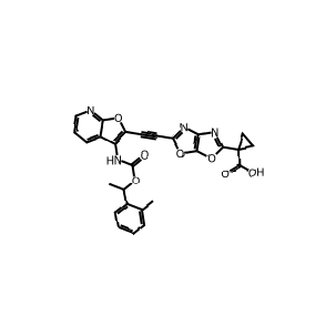 Cc1ccccc1C(C)OC(=O)Nc1c(C#Cc2nc3nc(C4(C(=O)O)CC4)oc3o2)oc2ncccc12